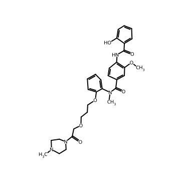 COc1cc(C(=O)N(C)c2ccccc2OCCCOCC(=O)N2CCN(C)CC2)ccc1NC(=O)c1ccccc1O